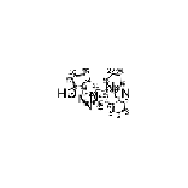 N#Cc1ccccc1CSc1nnc(-c2ccccc2O)n1CCN1CCCCC1